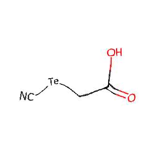 N#C[Te]CC(=O)O